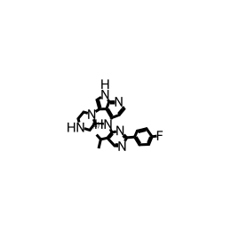 CC(C)c1cnc(-c2ccc(F)cc2)nc1Nc1ccnc2[nH]cc(N3CCNC[C@@H]3C)c12